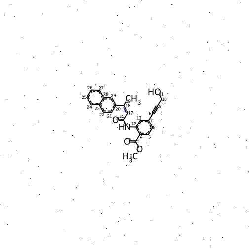 COC(=O)c1ccc(C#CCO)cc1NC(=O)/C=C(/C)c1ccc2ccccc2c1